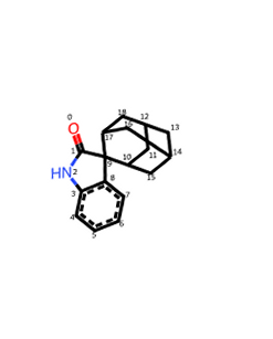 O=C1Nc2ccccc2C12C1CC3CC(C1)CC2C3